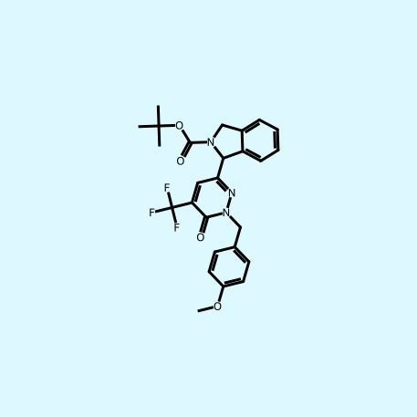 COc1ccc(Cn2nc(C3c4ccccc4CN3C(=O)OC(C)(C)C)cc(C(F)(F)F)c2=O)cc1